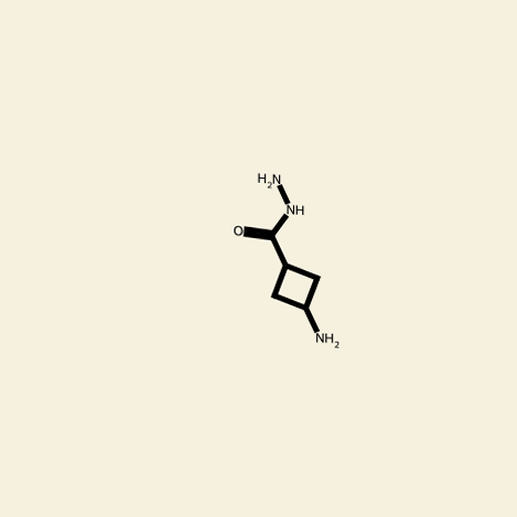 NNC(=O)C1CC(N)C1